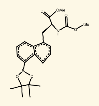 COC(=O)[C@H](Cc1cccc2c(B3OC(C)(C)C(C)(C)O3)cccc12)NC(=O)OC(C)(C)C